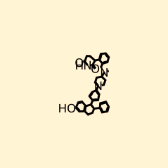 CN(Cc1ccccc1C1CCC(=O)NC1=O)C1CCN(c2ccc(C3c4ccc(O)cc4CCC3c3ccccc3)cc2)CC1